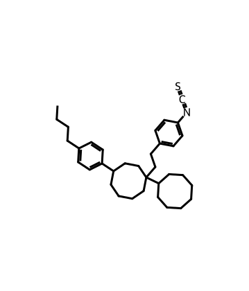 CCCCc1ccc(C2CCCCC(CCc3ccc(N=C=S)cc3)(C3CCCCCCC3)CC2)cc1